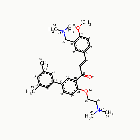 COc1ccc(C=CC(=O)c2cc(-c3cc(C)cc(C)c3)ccc2OCCN(C)C)cc1CN(C)C